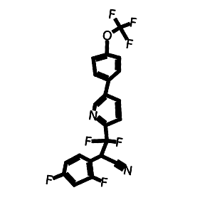 N#CC(c1ccc(F)cc1F)C(F)(F)c1ccc(-c2ccc(OC(F)(F)F)cc2)cn1